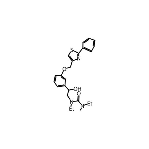 CCN(C)C(=O)N(CC)CC(O)c1cccc(OCc2csc(-c3ccccc3)n2)c1